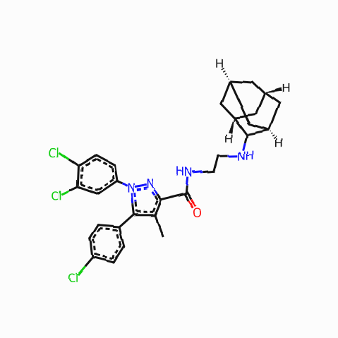 Cc1c(C(=O)NCCNC2[C@H]3C[C@@H]4C[C@@H](C[C@H]2C4)C3)nn(-c2ccc(Cl)c(Cl)c2)c1-c1ccc(Cl)cc1